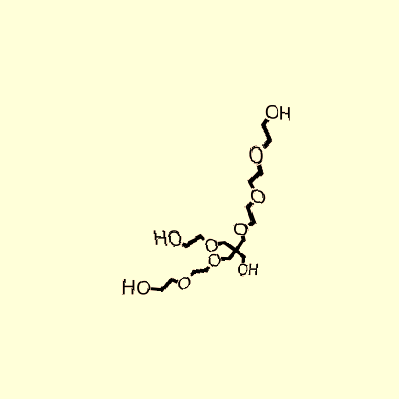 OCCOCCOCCOCC(CO)(COCCO)COCCOCCO